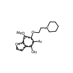 COc1c(OCCN2CCCCC2)c(C(C)=O)c(O)c2ccoc12